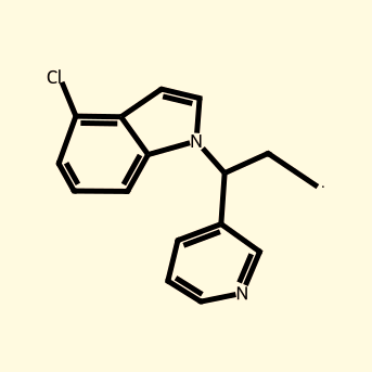 [CH2]CC(c1cccnc1)n1ccc2c(Cl)cccc21